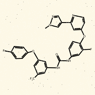 Cn1cc(-c2cc(Oc3ccc(NC(=O)Nc4cc(Oc5ccc(F)cc5)cc(C(F)(F)F)c4)cc3F)ccn2)cn1